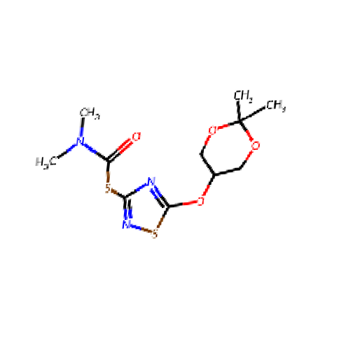 CN(C)C(=O)Sc1nsc(OC2COC(C)(C)OC2)n1